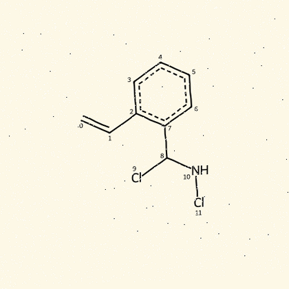 C=Cc1ccccc1C(Cl)NCl